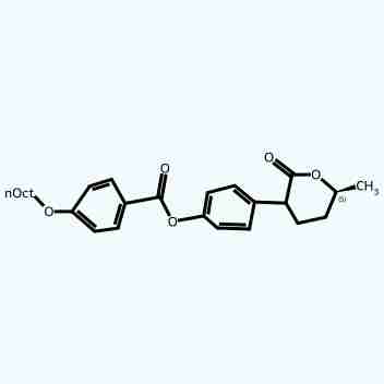 CCCCCCCCOc1ccc(C(=O)Oc2ccc(C3CC[C@H](C)OC3=O)cc2)cc1